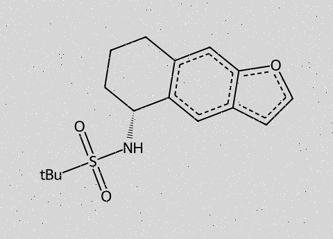 CC(C)(C)S(=O)(=O)N[C@@H]1CCCc2cc3occc3cc21